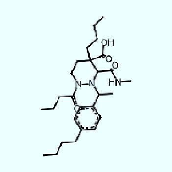 CCCCc1ccc(C(C)N2C(C(=O)NC)C(CCCC)(C(=O)O)CCN2C(=O)CCC)cc1